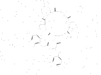 C[C@@H]1C[C@H]2C(=O)OC[C@H](NC(=O)[C@H](Cc3cc(F)cc(F)c3)NC(=O)Nc3ccc(Cl)cc3F)C(=O)N3CCC[C@H]3C(=O)N3CCN(C)C[C@H]3C(=O)N[C@@H](C)C(=O)N2C1